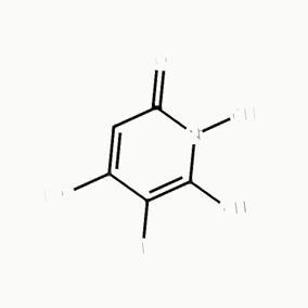 Cc1c(I)c(C(F)(F)F)cc(=O)n1C